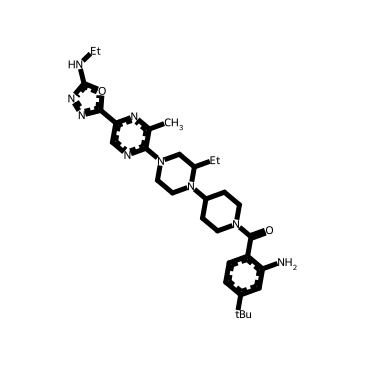 CCNc1nnc(-c2cnc(N3CCN(C4CCN(C(=O)c5ccc(C(C)(C)C)cc5N)CC4)C(CC)C3)c(C)n2)o1